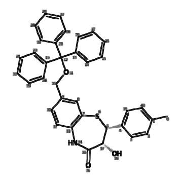 Cc1ccc([C@H]2Sc3cc(COC(c4ccccc4)(c4ccccc4)c4ccccc4)ccc3NC(=O)[C@H]2O)cc1